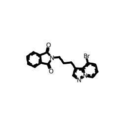 O=C1c2ccccc2C(=O)N1CCCc1cnn2cccc(Br)c12